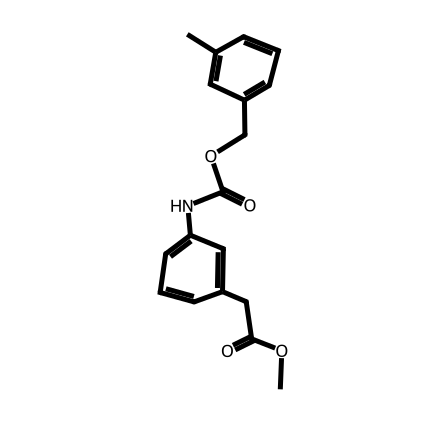 COC(=O)Cc1cccc(NC(=O)OCc2cccc(C)c2)c1